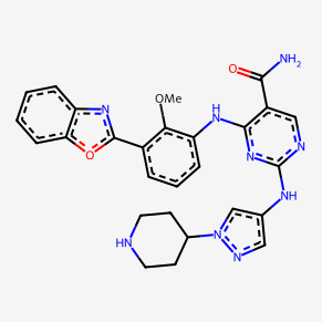 COc1c(Nc2nc(Nc3cnn(C4CCNCC4)c3)ncc2C(N)=O)cccc1-c1nc2ccccc2o1